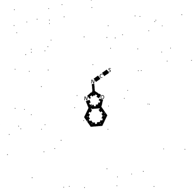 S=C=Nc1nc2ccccc2o1